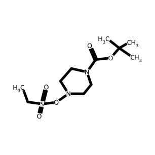 CCS(=O)(=O)ON1CCN(C(=O)OC(C)(C)C)CC1